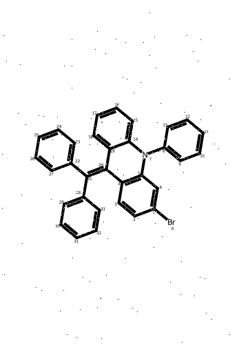 Brc1ccc2c(c1)N(c1ccccc1)c1ccccc1C2=C(c1ccccc1)c1ccccc1